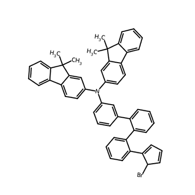 CC1(C)c2ccccc2-c2ccc(N(c3cccc(-c4ccccc4-c4ccccc4C4=CC=CC4Br)c3)c3ccc4c(c3)C(C)(C)c3ccccc3-4)cc21